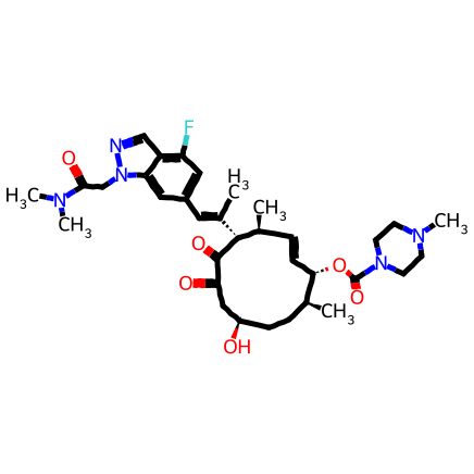 C/C(=C\c1cc(F)c2cnn(CC(=O)N(C)C)c2c1)[C@H]1C(=O)C(=O)C[C@H](O)CC[C@H](C)[C@@H](OC(=O)N2CCN(C)CC2)/C=C/[C@@H]1C